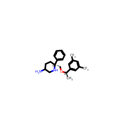 C[C@@H](OC[C@@]1(c2ccccc2)CCC(N)CN1)c1cc(C(F)(F)F)cc(C(F)(F)F)c1